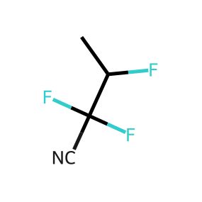 CC(F)C(F)(F)C#N